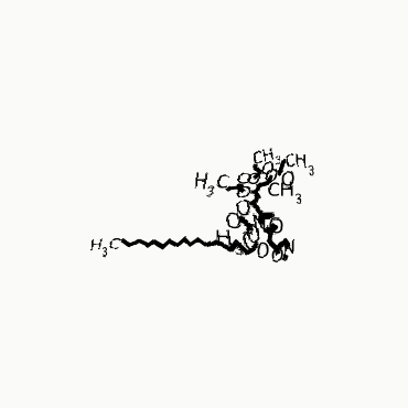 CCCCCCCCCCCCCCCCCC(=O)OC(c1cnco1)c1nc(C(CC(OC(=O)CC)C(OC(=O)CC)C(C)OC(=O)CC)OC(=O)CC)co1